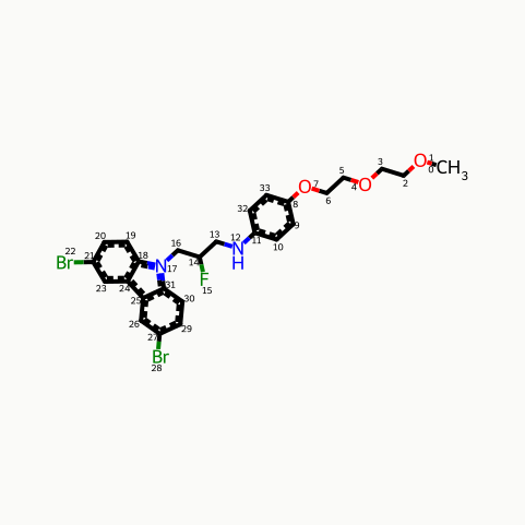 COCCOCCOc1ccc(NCC(F)Cn2c3ccc(Br)cc3c3cc(Br)ccc32)cc1